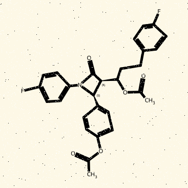 CC(=O)Oc1ccc([C@@H]2[C@H](C(CCc3ccc(F)cc3)OC(C)=O)C(=O)N2c2ccc(F)cc2)cc1